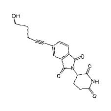 O=C1CCC(N2C(=O)c3ccc(C#CCCCO)cc3C2=O)C(=O)N1